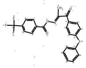 C/C(=N\OC(=O)c1ccc(C(F)(F)F)cc1)C(=O)c1ccc(Sc2ccccc2)cc1